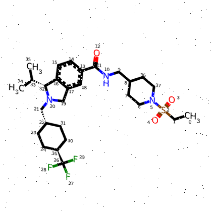 CCS(=O)(=O)N1CCC(CNC(=O)c2ccc3c(c2)CN(C[C@H]2CC[C@H](C(F)(F)F)CC2)[C@@H]3C(C)C)CC1